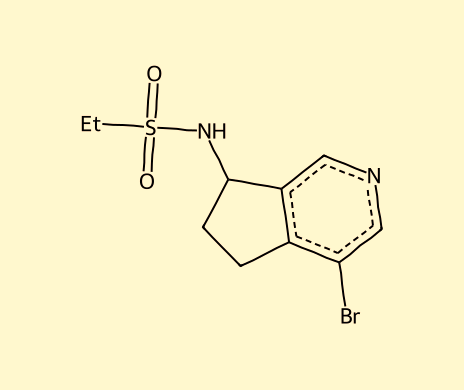 CCS(=O)(=O)NC1CCc2c(Br)cncc21